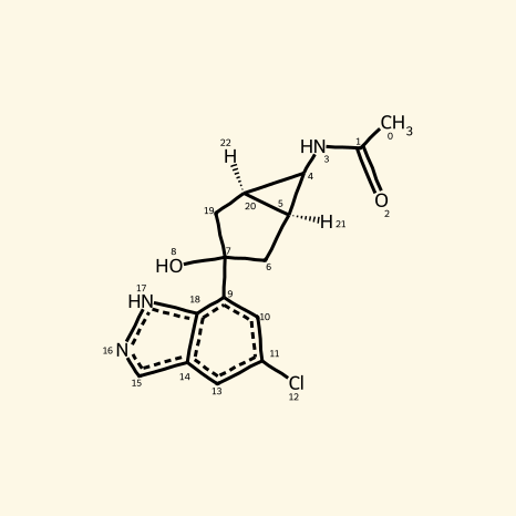 CC(=O)NC1[C@H]2CC(O)(c3cc(Cl)cc4cn[nH]c34)C[C@@H]12